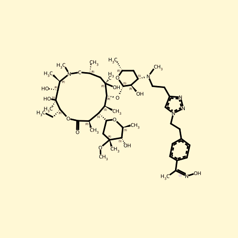 CC[C@H]1OC(=O)[C@H](C)[C@@H](C2C[C@@](C)(OC)[C@@H](O)[C@H](C)O2)[C@H](C)[C@@H](O[C@@H]2O[C@H](C)C[C@H](N(C)CCc3cn(CCc4ccc(/C(C)=N\O)cc4)nn3)[C@H]2O)[C@](C)(O)C[C@@H](C)CN(C)[C@H](C)[C@@H](O)[C@]1(C)O